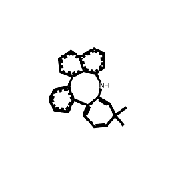 CC1(C)C=CC=C2C(=C1)Nc1cccc3cccc(c13)-c1ccccc12